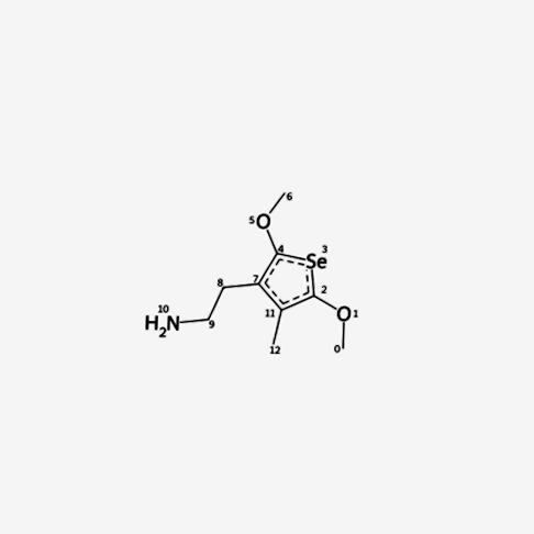 COc1[se]c(OC)c(CCN)c1C